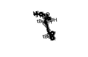 Cc1ncsc1-c1ccc(CNC(=O)[C@@H]2C[C@@H](O)CN2C(=O)[C@@H](NC(=O)COCCOCCO[Si](c2ccccc2)(c2ccccc2)C(C)(C)C)C(C)(C)C)cc1